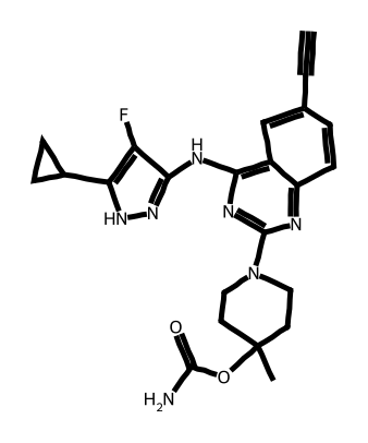 C#Cc1ccc2nc(N3CCC(C)(OC(N)=O)CC3)nc(Nc3n[nH]c(C4CC4)c3F)c2c1